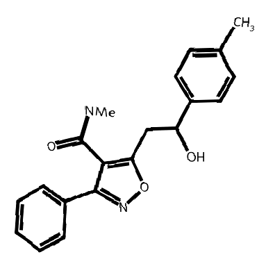 CNC(=O)c1c(-c2ccccc2)noc1CC(O)c1ccc(C)cc1